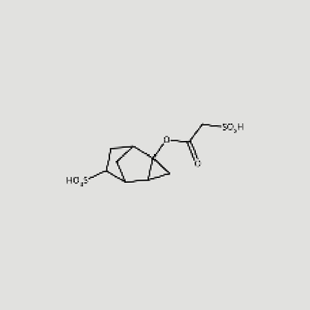 O=C(CS(=O)(=O)O)OC12CC1C1CC2CC1S(=O)(=O)O